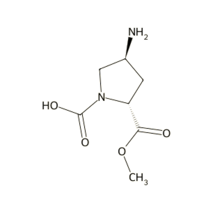 COC(=O)[C@H]1C[C@H](N)CN1C(=O)O